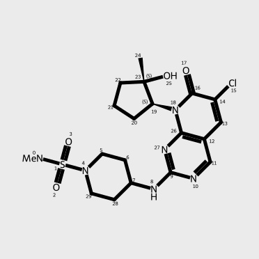 CNS(=O)(=O)N1CCC(Nc2ncc3cc(Cl)c(=O)n([C@H]4CCC[C@]4(C)O)c3n2)CC1